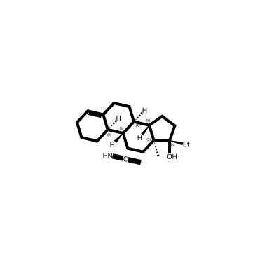 C=C=N.CC[C@]1(O)CC[C@H]2[C@@H]3CCC4=CCCC[C@@H]4[C@H]3CC[C@@]21C